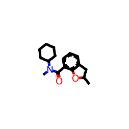 CC1Cc2cccc(C(=O)N(C)C3CCCCC3)c2O1